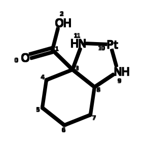 O=C(O)C12CCCCC1[NH][Pt][NH]2